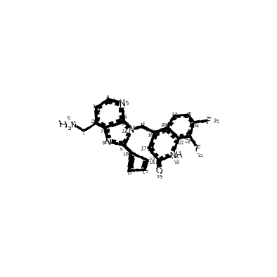 NCc1ccnc2c1nc(C1=CC=C1)n2Cc1cc(=O)[nH]c2c(F)c(F)ccc12